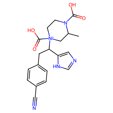 CC1C[N+](C(=O)O)(C(Cc2ccc(C#N)cc2)c2cnc[nH]2)CCN1C(=O)O